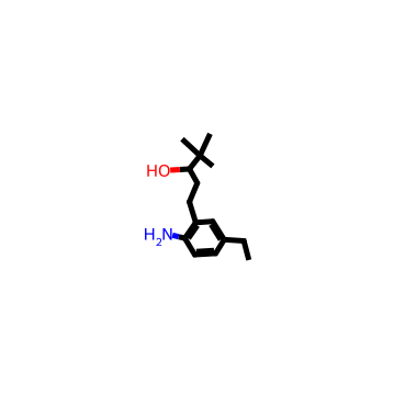 CCc1ccc(N)c(CCC(O)C(C)(C)C)c1